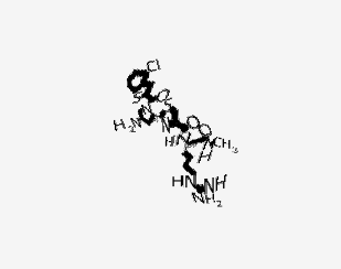 CNC(=O)[C@H](CCCCNC(=N)N)NC(=O)c1csc([C@@H]2C[C@@H](N)CN2C(=O)c2cc3c(Cl)cccc3s2)n1